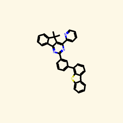 CC1(C)c2ccccc2-c2nc(-c3cccc(-c4cccc5c4sc4ccccc45)c3)nc(-c3ccccn3)c21